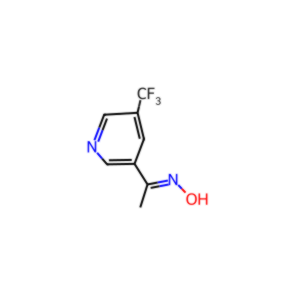 CC(=NO)c1cncc(C(F)(F)F)c1